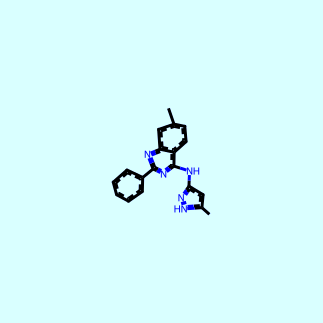 Cc1ccc2c(Nc3cc(C)[nH]n3)nc(-c3ccccc3)nc2c1